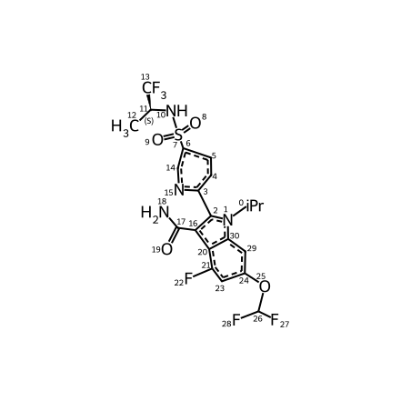 CC(C)n1c(-c2ccc(S(=O)(=O)N[C@@H](C)C(F)(F)F)cn2)c(C(N)=O)c2c(F)cc(OC(F)F)cc21